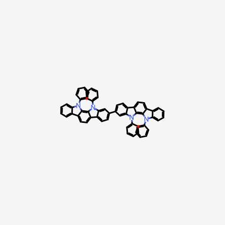 c1ccc(-n2c3ccccc3c3ccc4c5ccc(-c6ccc7c8ccc9c%10ccccc%10n(-c%10ccccc%10)c9c8n(-c8ccccc8)c7c6)cc5n(-c5ccccc5)c4c32)cc1